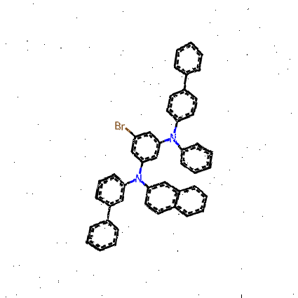 Brc1cc(N(c2ccccc2)c2ccc(-c3ccccc3)cc2)cc(N(c2cccc(-c3ccccc3)c2)c2ccc3ccccc3c2)c1